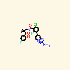 Nc1nc2cc(-c3ccc(Cl)c(C(=O)NCC4([C@H](O)c5ccc(F)cc5)CC4)c3F)ccn2n1